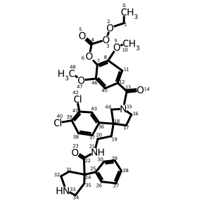 CCOOC(=O)Oc1c(OC)cc(C(=O)N2CCC(CCNC(=O)C3(c4ccccc4)CCNCC3)(c3ccc(Cl)c(Cl)c3)C2)cc1OC